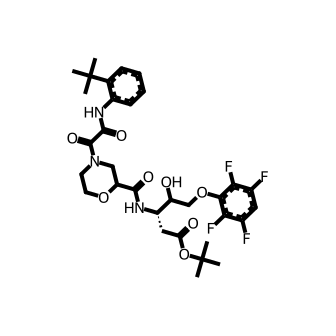 CC(C)(C)OC(=O)C[C@H](NC(=O)C1CN(C(=O)C(=O)Nc2ccccc2C(C)(C)C)CCO1)C(O)COc1c(F)c(F)cc(F)c1F